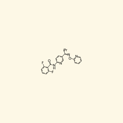 CC(C)C(=NOc1ccccn1)c1ccc(NC(=O)c2c(F)cccc2F)nc1